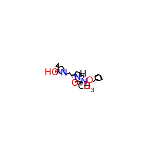 C[C@H]1C(=O)N2[C@@H](CCCN3CCC4(CC4)[C@H](O)C3)CC[C@H]2CN1C(=O)OCc1ccccc1